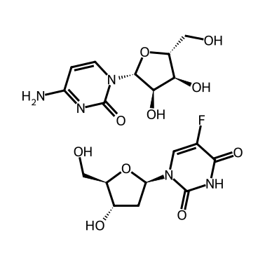 Nc1ccn([C@@H]2O[C@H](CO)[C@@H](O)[C@H]2O)c(=O)n1.O=c1[nH]c(=O)n([C@H]2C[C@H](O)[C@@H](CO)O2)cc1F